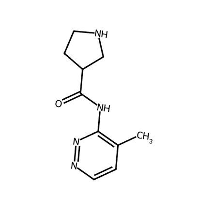 Cc1ccnnc1NC(=O)C1CCNC1